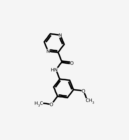 COc1cc(NC(=O)c2cnccn2)cc(OC)c1